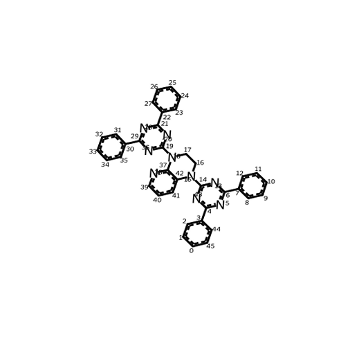 c1ccc(-c2nc(-c3ccccc3)nc(N3CCN(c4nc(-c5ccccc5)nc(-c5ccccc5)n4)c4ncccc43)n2)cc1